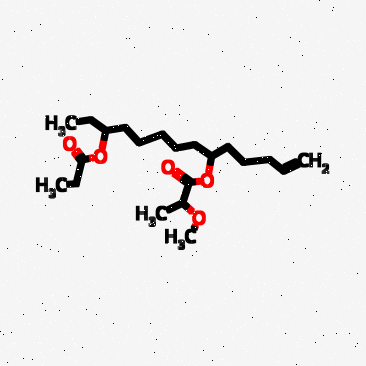 C=CCCCC(CCCCCC(CC)OC(=O)CC)OC(=O)C(C)OC